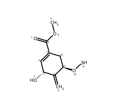 C=C1[C@H](O)C=C(C(=O)OC)C[C@H]1OS